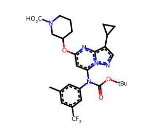 Cc1cc(N(C(=O)OC(C)(C)C)c2cc(OC3CCCN(C(=O)O)C3)nc3c(C4CC4)cnn23)cc(C(F)(F)F)c1